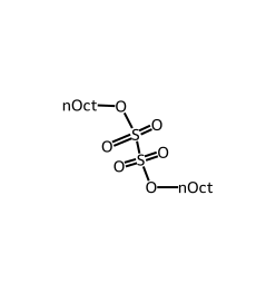 CCCCCCCCOS(=O)(=O)S(=O)(=O)OCCCCCCCC